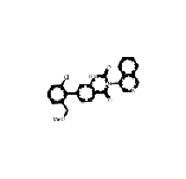 COCc1cccc(Cl)c1-c1ccc2c(=O)n(-c3cncc4ccccc34)c(=O)[nH]c2c1